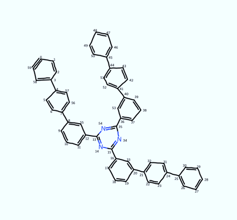 c1ccc(-c2ccc(-c3cccc(-c4nc(-c5cccc(-c6ccc(-c7ccccc7)cc6)c5)nc(-c5cccc(-c6ccc(-c7ccccc7)cc6)c5)n4)c3)cc2)cc#1